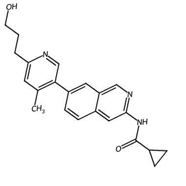 Cc1cc(CCCO)ncc1-c1ccc2cc(NC(=O)C3CC3)ncc2c1